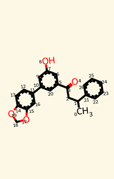 CC(CC(=O)c1cc(O)cc(-c2ccc3c(c2)OCO3)c1)c1ccccc1